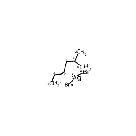 [Br][Mg][Br].[CH2]CCCC(C)C